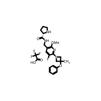 COc1nc(N2CC(C)(Oc3ccccc3)C2)c(F)cc1CNC(=O)[C@@H]1CCCN1.O=C(O)C(F)(F)F